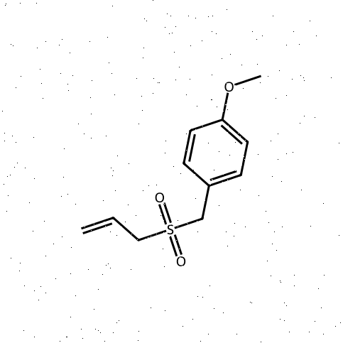 C=CCS(=O)(=O)Cc1ccc(OC)cc1